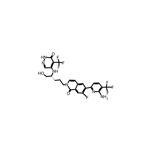 Nc1nc(-c2cc3ccn(CCC[C@H](CO)Nc4cn[nH]c(=O)c4C(F)(F)F)c(=O)c3cc2F)ccc1C(F)(F)F